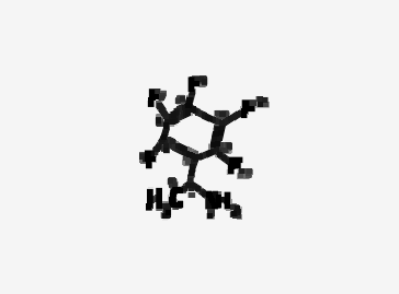 CC(N)c1c(F)c(F)c(F)c(F)c1F